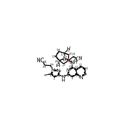 Cc1cc(Nc2cc3ncccc3c(N[C@@H]3C[C@H]4CC[C@@H](C3)N4CCC#N)n2)nn1CCC#N